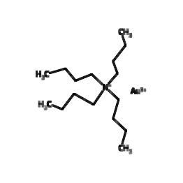 CCCC[N+](CCCC)(CCCC)CCCC.[Au+3]